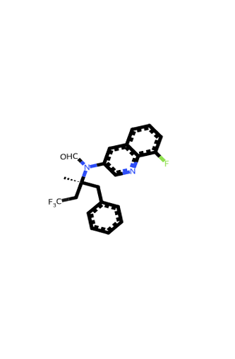 C[C@](Cc1ccccc1)(CC(F)(F)F)N(C=O)c1cnc2c(F)cccc2c1